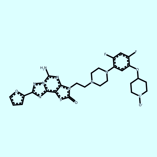 Nc1nc2c(sc(=O)n2CCN2CCN(c3cc(OC4CC[S+]([O-])CC4)c(F)cc3F)CC2)c2nc(-c3ccco3)nn12